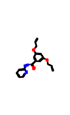 C=CCOc1cc(OCC=C)cc(C(=O)Nc2ccccn2)c1